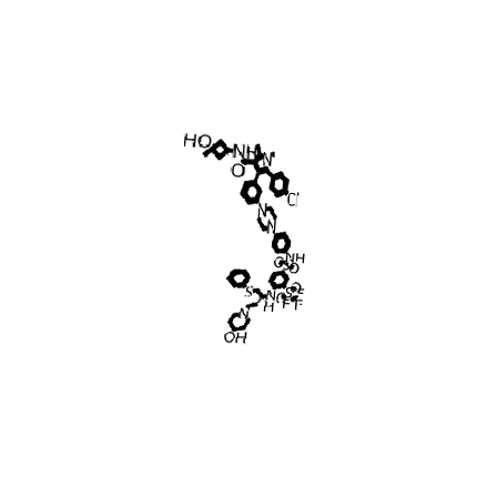 Cc1c(C(=O)NC2CC(C)(O)C2)c(-c2cccc(N3CCN(c4ccc(NS(=O)(=O)c5ccc(N[C@H](CCN6CCC(O)CC6)CSc6ccccc6)c(S(=O)(=O)C(F)(F)F)c5)cc4)CC3)c2)c(-c2ccc(Cl)cc2)n1C